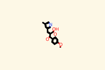 COc1ccc(C(=O)C(=Cc2cncc(C)c2)C(=O)O)cc1